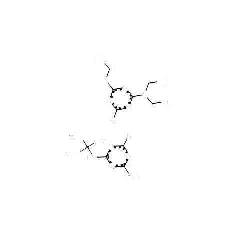 COC(Nc1nc(N)nc(N)n1)(OC)OC.Nc1nc(NCO)nc(N(CO)CO)n1